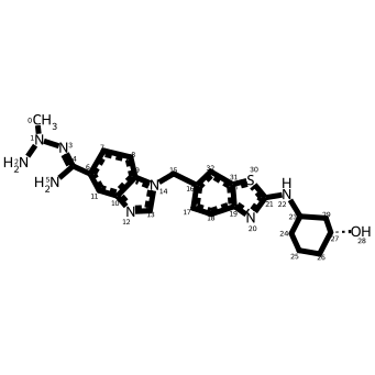 CN(N)/N=C(\N)c1ccc2c(c1)ncn2Cc1ccc2nc(NC3CCC[C@@H](O)C3)sc2c1